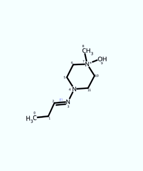 CC/C=N/N1CC[N+](C)(O)CC1